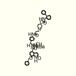 CC(C)(C)[Si](C)(C)O[C@@H](CNCc1ccc(NC(=O)CCN2CCC(OC(=O)Nc3ccccc3-c3ccccc3)CC2)cc1)c1ccc(OCc2ccccc2)c2[nH]c(=O)ccc12